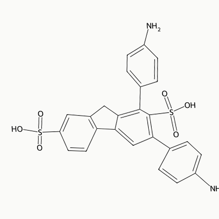 Nc1ccc(-c2cc3c(c(-c4ccc(N)cc4)c2S(=O)(=O)O)Cc2cc(S(=O)(=O)O)ccc2-3)cc1